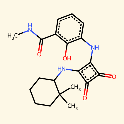 CNC(=O)c1cccc(Nc2c(NC3CCCCC3(C)C)c(=O)c2=O)c1O